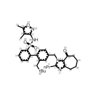 CCCc1nc2c(n1Cc1ccc(-c3ccccc3S(=O)(=O)Nc3noc(C)c3C)c(CC(C)(C)C)c1)C(=O)CCCC2